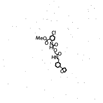 COC(=O)c1cc(Cl)ccc1NC(=O)COCC(=O)NCc1cccc(-c2ccco2)c1